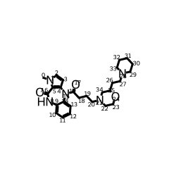 Cn1ccc2c1C(=O)Nc1ccccc1N2C(=O)CCCN1CCOC(CCN2CCCCC2)C1